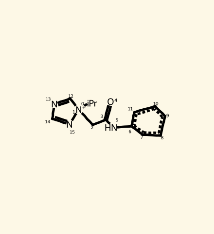 CC(C)[N+]1(CC(=O)Nc2ccccc2)C=NC=N1